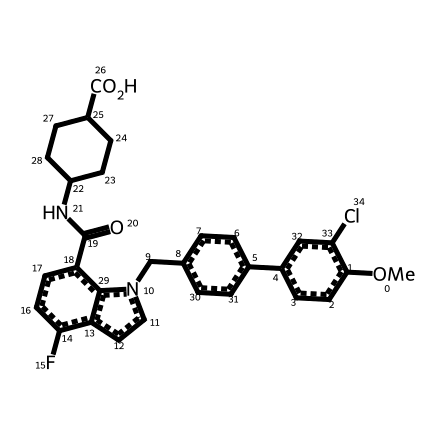 COc1ccc(-c2ccc(Cn3ccc4c(F)ccc(C(=O)NC5CCC(C(=O)O)CC5)c43)cc2)cc1Cl